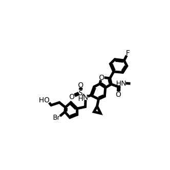 CNC(=O)c1c(-c2ccc(F)cc2)oc2cc(N(Cc3ccc(Br)c(CCO)c3)[SH](=O)=O)c(C3CC3)cc12